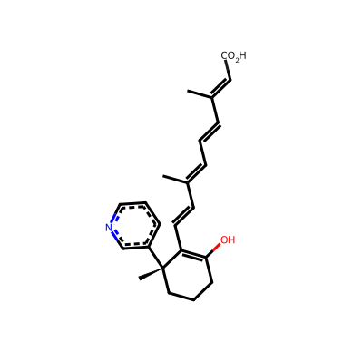 CC(/C=C/C1=C(O)CCC[C@]1(C)c1cccnc1)=C\C=C\C(C)=C\C(=O)O